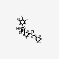 Cc1cc(-c2cn(-c3cccc(C(=O)C=Cc4ccccc4)c3)c(=O)[nH]2)cc(C)c1C